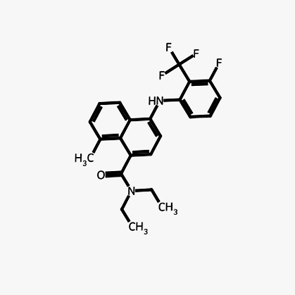 CCN(CC)C(=O)c1ccc(Nc2cccc(F)c2C(F)(F)F)c2cccc(C)c12